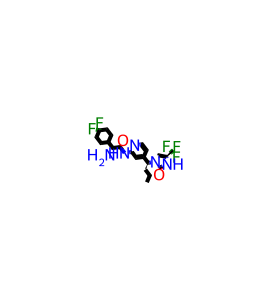 CCC[C@H](c1ccnc(NC(=O)[C@@H](N)C2CCC(F)(F)CC2)c1)N1C[C@@H](C(F)(F)F)NC1=O